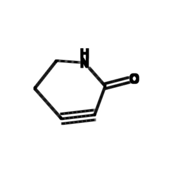 O=C1C#CCCN1